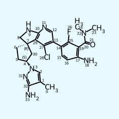 Cc1cn([C@H]2CC[C@@]3(CNc4ncc(-c5ccc(N)c(C(=O)N(C)C)c5F)c(Cl)c43)C2)nc1N